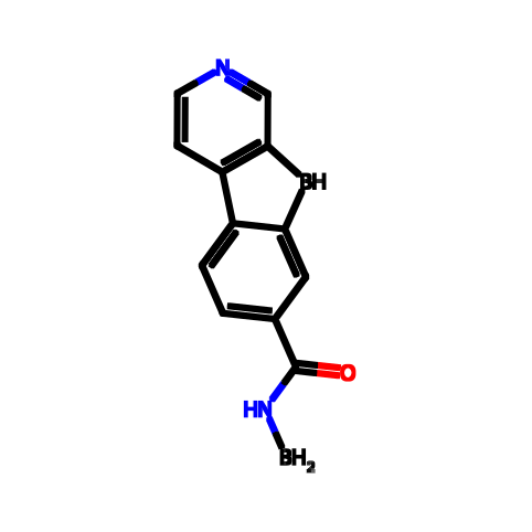 BNC(=O)c1ccc2c(c1)Bc1cnccc1-2